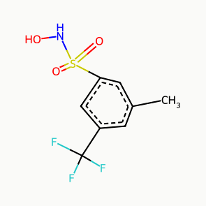 Cc1cc(C(F)(F)F)cc(S(=O)(=O)NO)c1